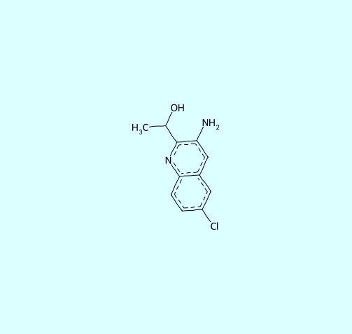 CC(O)c1nc2ccc(Cl)cc2cc1N